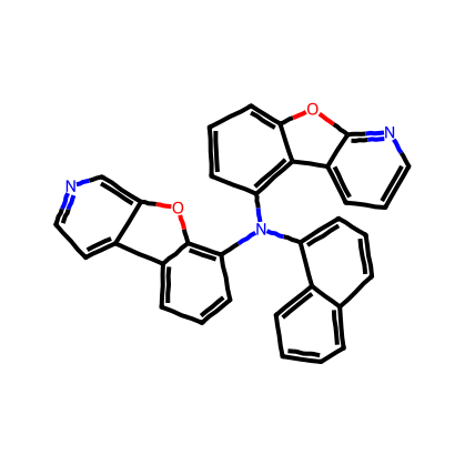 c1ccc2c(N(c3cccc4c3oc3cnccc34)c3cccc4oc5ncccc5c34)cccc2c1